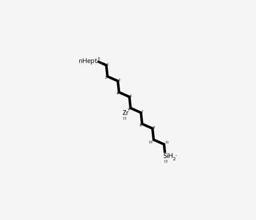 CCCCCCCCCCCCCCCCCC[SiH2].[Zr]